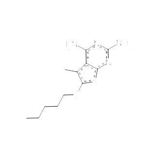 CCCCCSc1sc2nc(N)nc(N)c2c1C